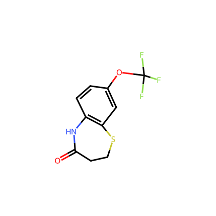 O=C1CCSc2cc(OC(F)(F)F)ccc2N1